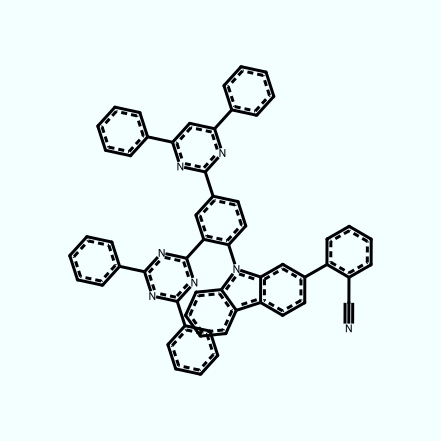 N#Cc1ccccc1-c1ccc2c3ccccc3n(-c3ccc(-c4nc(-c5ccccc5)cc(-c5ccccc5)n4)cc3-c3nc(-c4ccccc4)nc(-c4ccccc4)n3)c2c1